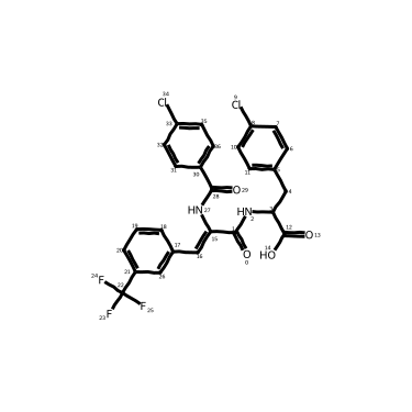 O=C(NC(Cc1ccc(Cl)cc1)C(=O)O)C(=Cc1cccc(C(F)(F)F)c1)NC(=O)c1ccc(Cl)cc1